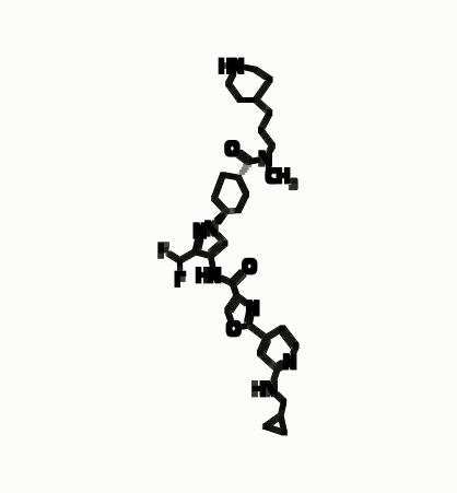 CN(CCCC1CCNCC1)C(=O)[C@H]1CC[C@H](n2cc(NC(=O)c3coc(-c4ccnc(NCC5CC5)c4)n3)c(C(F)F)n2)CC1